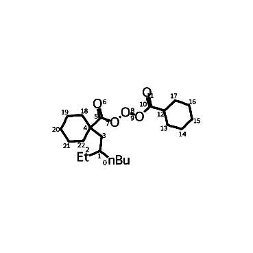 CCCCC(CC)CC1(C(=O)OOOC(=O)C2CCCCC2)CCCCC1